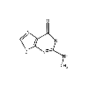 CNC1=Nc2[nH]cnc2C(=O)[N]1